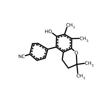 Cc1c(C)c2c(c(-c3ccc(C#N)cc3)c1O)CCC(C)(C)O2